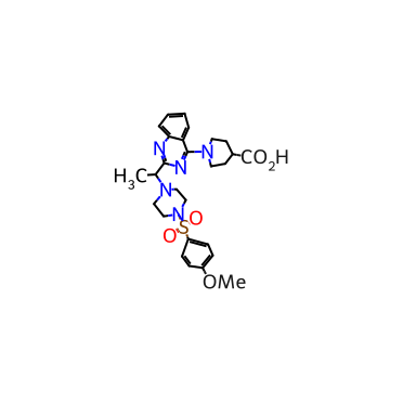 COc1ccc(S(=O)(=O)N2CCN(C(C)c3nc(N4CCC(C(=O)O)CC4)c4ccccc4n3)CC2)cc1